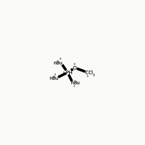 CCCC[PH](CCCC)(CCCC)OC(Cl)(Cl)Cl